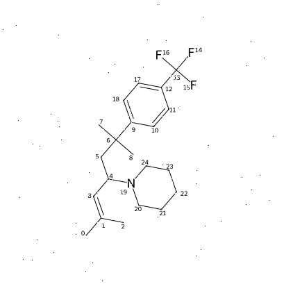 CC(C)=CC(CC(C)(C)c1ccc(C(F)(F)F)cc1)N1CCCCC1